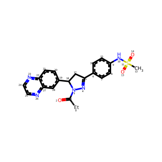 CCC(=O)N1N=C(c2ccc(NS(C)(=O)=O)cc2)CC1c1ccc2nccnc2c1